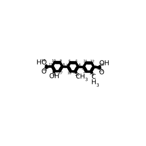 Cc1cc(-c2ccc(-c3ccc(C(=O)O)c(O)c3)cc2C)ccc1C(=O)O